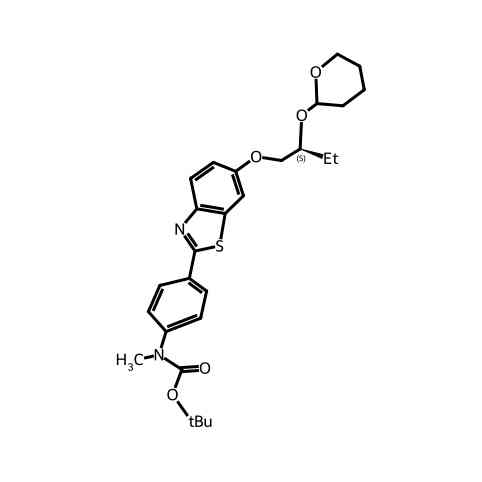 CC[C@@H](COc1ccc2nc(-c3ccc(N(C)C(=O)OC(C)(C)C)cc3)sc2c1)OC1CCCCO1